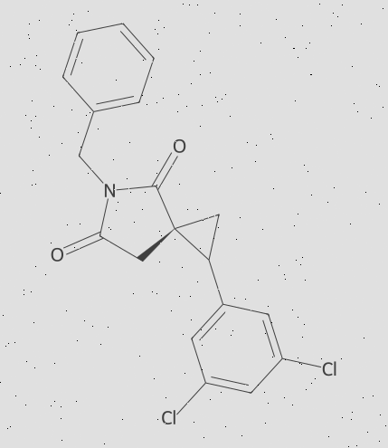 O=C1C[C@]2(CC2c2cc(Cl)cc(Cl)c2)C(=O)N1Cc1ccccc1